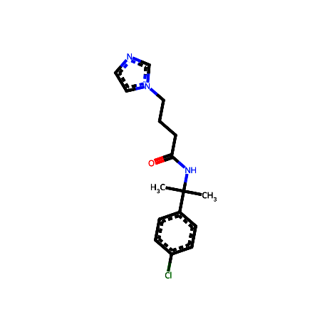 CC(C)(NC(=O)CCCn1ccnc1)c1ccc(Cl)cc1